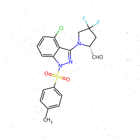 Cc1ccc(S(=O)(=O)n2nc(N3CC(F)(F)C[C@@H]3C=O)c3c(Cl)cccc32)cc1